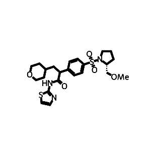 COC[C@H]1CCCN1S(=O)(=O)c1ccc(C(CC2CCOCC2)C(=O)Nc2nccs2)cc1